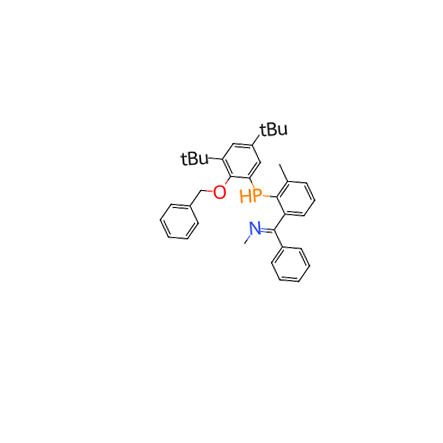 C/N=C(\c1ccccc1)c1cccc(C)c1Pc1cc(C(C)(C)C)cc(C(C)(C)C)c1OCc1ccccc1